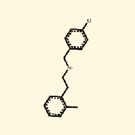 Cc1ccccc1CCNCc1ccc(Cl)cc1